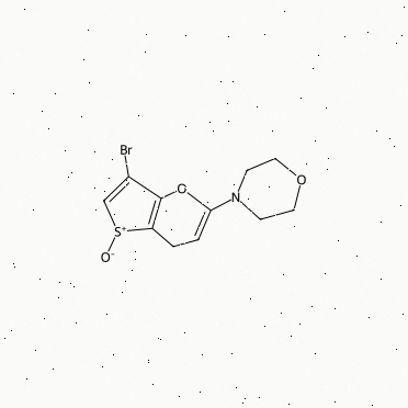 [O-][s+]1cc(Br)c2c1CC=C(N1CCOCC1)O2